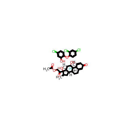 C=C1C[C@H]2[C@@H]3CCC4=CC(=O)C=C[C@]4(C)[C@@]3(F)[C@@H](O)C[C@]2(C)[C@@]1(O)C(=O)COC(C)=O.Oc1cc(Cl)ccc1Oc1ccc(Cl)cc1Cl